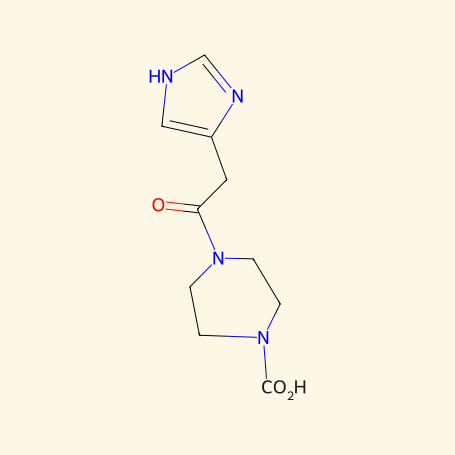 O=C(O)N1CCN(C(=O)Cc2c[nH]cn2)CC1